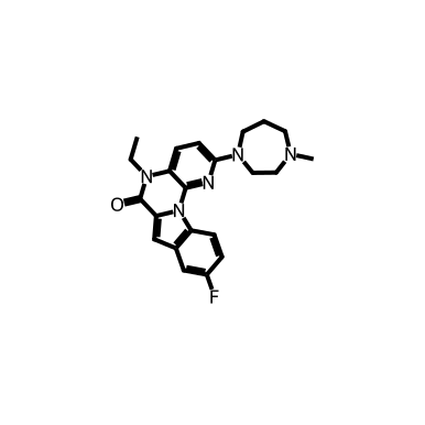 CCn1c(=O)c2cc3cc(F)ccc3n2c2nc(N3CCCN(C)CC3)ccc21